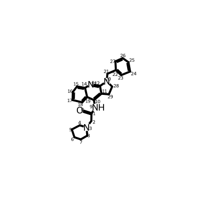 O=C(CN1CCCCC1)Nc1c2c(nc3ccccc13)N(Cc1ccccc1)CC2